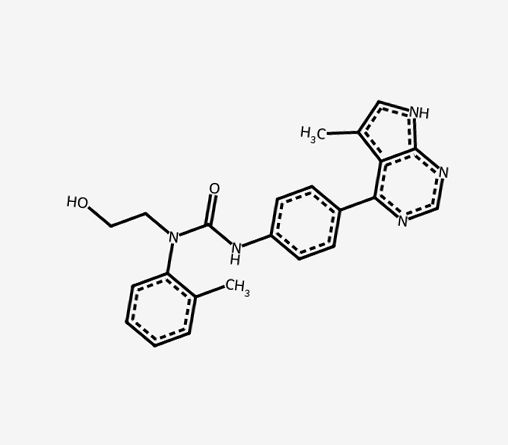 Cc1ccccc1N(CCO)C(=O)Nc1ccc(-c2ncnc3[nH]cc(C)c23)cc1